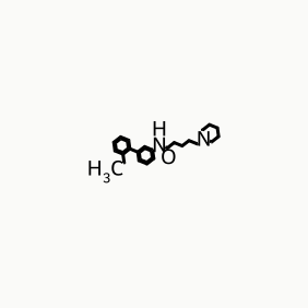 CCc1ccccc1-c1cccc(NC(=O)CCCCN2CCCCC2)c1